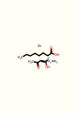 CC(=O)/C=C(/C)O.CCCCCCCC(=O)O.[AlH3].[Zn]